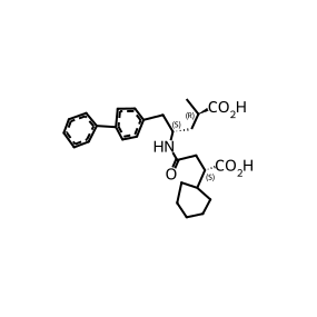 C[C@H](C[C@@H](Cc1ccc(-c2ccccc2)cc1)NC(=O)C[C@H](C(=O)O)C1CCCCC1)C(=O)O